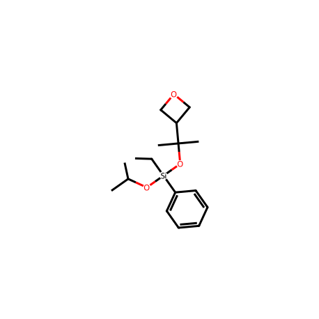 CC[Si](OC(C)C)(OC(C)(C)C1COC1)c1ccccc1